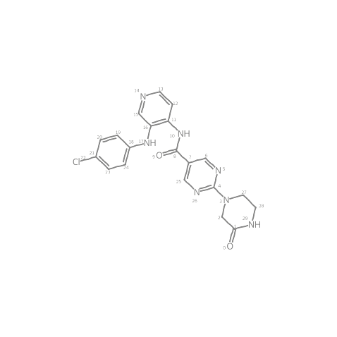 O=C1CN(c2ncc(C(=O)Nc3ccncc3Nc3ccc(Cl)cc3)cn2)CCN1